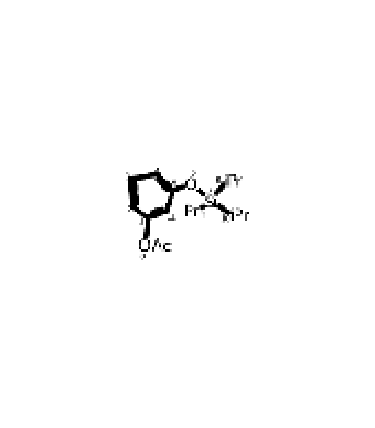 CC(=O)Oc1cccc(O[Si](C(C)C)(C(C)C)C(C)C)c1